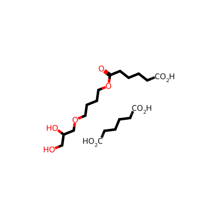 O=C(O)CCCCC(=O)O.O=C(O)CCCCC(=O)OCCCCOCC(O)CO